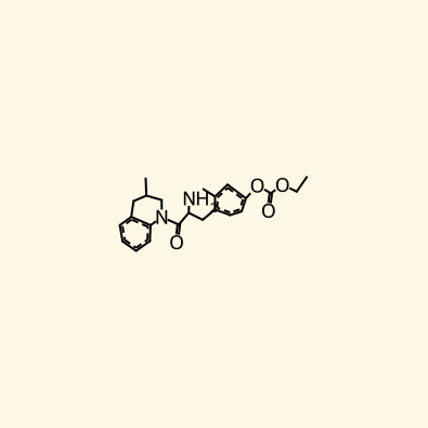 CCOC(=O)Oc1ccc(CC(N)C(=O)N2CC(C)Cc3ccccc32)c(C)c1